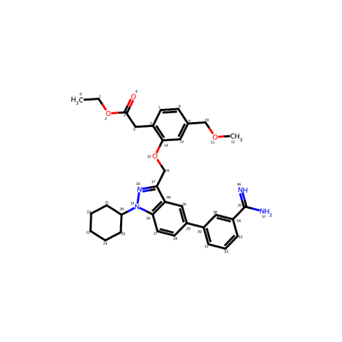 CCOC(=O)Cc1ccc(COC)cc1OCc1nn(C2CCCCC2)c2ccc(-c3cccc(C(=N)N)c3)cc12